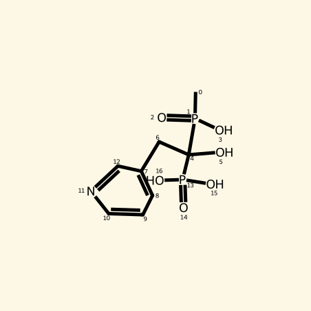 CP(=O)(O)C(O)(Cc1cccnc1)P(=O)(O)O